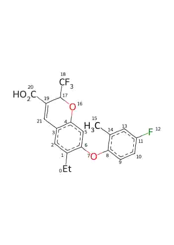 CCc1cc2c(cc1Oc1ccc(F)cc1C)OC(C(F)(F)F)C(C(=O)O)=C2